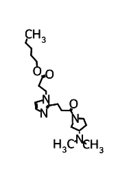 CCCCCOC(=O)CCn1ccnc1CCC(=O)N1CC[C@H](N(C)C)C1